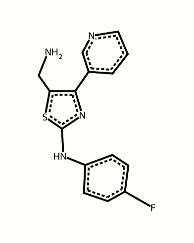 NCc1sc(Nc2ccc(F)cc2)nc1-c1cccnc1